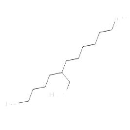 CCCCCCCCCCCCCCCCC(CCCCCCCCCCCCCC)CC(=O)O